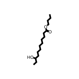 CCCCOC(=O)CCCCCCCCC(O)CC